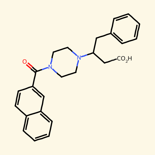 O=C(O)CC(Cc1ccccc1)N1CCN(C(=O)c2ccc3ccccc3c2)CC1